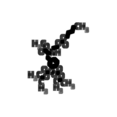 CCCCCOC(=O)OCCN[C@@H](Cc1ccc(OC(=O)OC(C)C)c(OC(=O)OC(C)C)c1)C(=O)OC